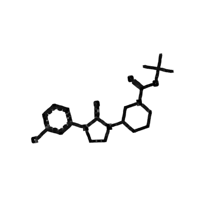 CC(C)(C)OC(=O)N1CCCC(N2CCN(c3cccc(Cl)c3)C2=O)C1